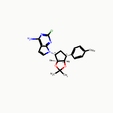 COc1ccc([C@H]2C[C@@H](n3ccc4c(N)nc(Cl)nc43)[C@@H]3OC(C)(C)O[C@@H]32)cc1